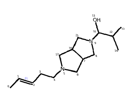 C/C=C/CCN1CC2CN(C(O)C(C)C)CC2C1